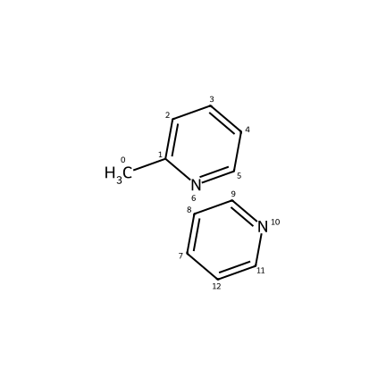 Cc1ccccn1.c1ccncc1